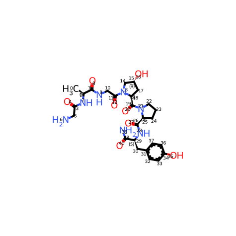 C[C@H](NC(=O)CN)C(=O)NCC(=O)N1C[C@H](O)C[C@H]1C(=O)N1CCC[C@H]1C(=O)N[C@@H](Cc1ccc(O)cc1)C(N)=O